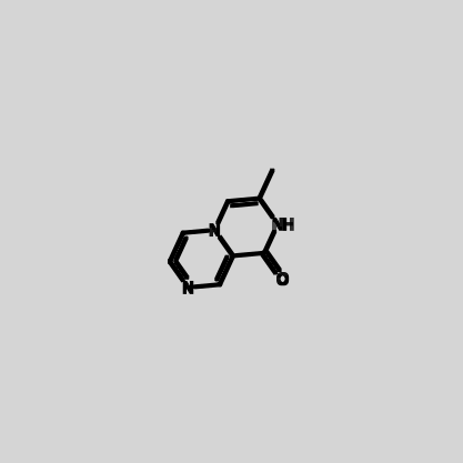 CC1=CN2C=C=NC=C2C(=O)N1